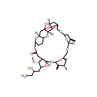 C=C1C2C[C@@H]3OC(CC(O)CN)[C@H](OC)C3CC(=O)CC3CCC4O[C@@H]5C6O[C@@H]7CC(CCC8CC(=C)[C@H](CC[C@@H](C[C@H]1C)O2)O8)(OC6[C@H]4O3)OC57